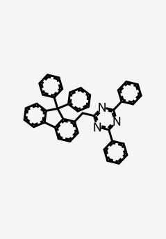 c1ccc(-c2nc(Cc3cccc4c3C(c3ccccc3)(c3ccccc3)c3ccccc3-4)nc(-c3ccccc3)n2)cc1